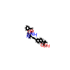 C[C@@H](OC(=O)Nc1c(C#Cc2ccc3cc(C4(C(=O)O)CC4)ccc3c2)cnn1C)c1ccccc1